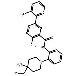 N#CCC1(N)CCN(c2cccnc2NC(=O)c2nc(-c3ncccc3C(F)(F)F)cnc2N)CC1